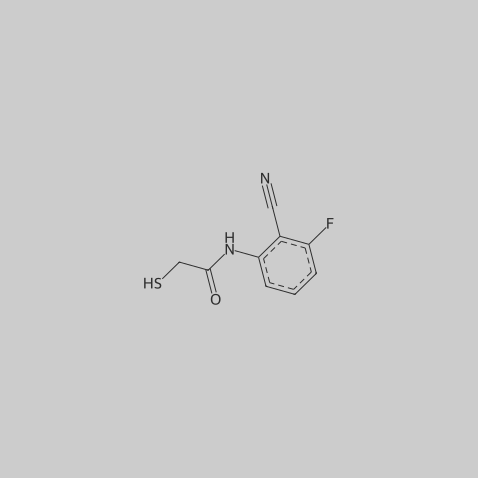 N#Cc1c(F)cccc1NC(=O)CS